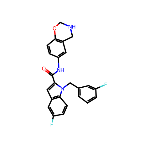 O=C(Nc1ccc2c(c1)CNCO2)c1cc2cc(F)ccc2n1Cc1cccc(F)c1